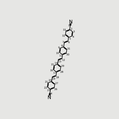 N#Cc1ccc(/C=C/c2ccc(/C=C/c3ccc(/C=C/c4ccc(C#N)cc4)cc3)cc2)cc1